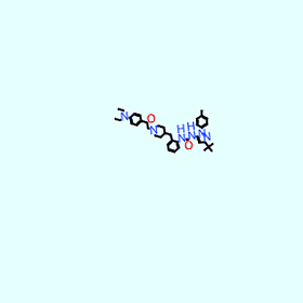 CCN(CC)c1ccc(C(=O)CN2CCC(Cc3ccccc3NC(=O)Nc3cc(C(C)(C)C)nn3-c3ccc(C)cc3)CC2)cc1